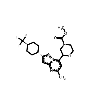 COC(=O)N1CCOC(c2cc(C)nc3cc([C@H]4CC[C@H](C(F)(F)F)CC4)nn23)C1